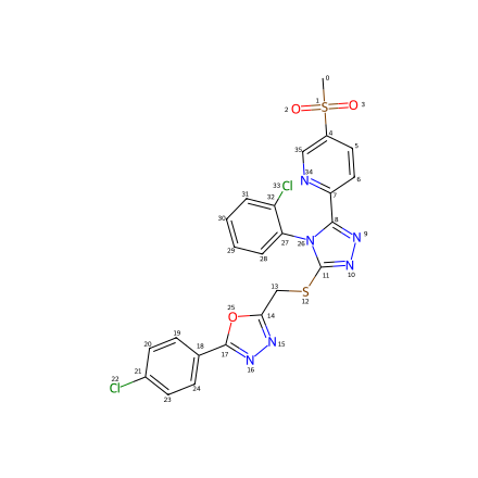 CS(=O)(=O)c1ccc(-c2nnc(SCc3nnc(-c4ccc(Cl)cc4)o3)n2-c2ccccc2Cl)nc1